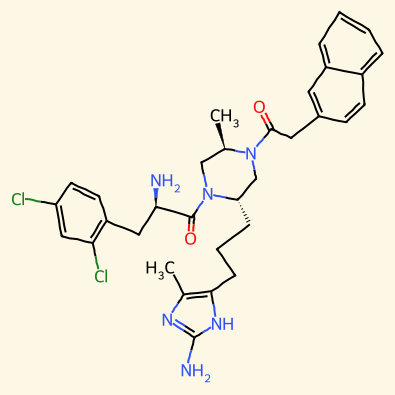 Cc1nc(N)[nH]c1CCC[C@H]1CN(C(=O)Cc2ccc3ccccc3c2)[C@H](C)CN1C(=O)[C@H](N)Cc1ccc(Cl)cc1Cl